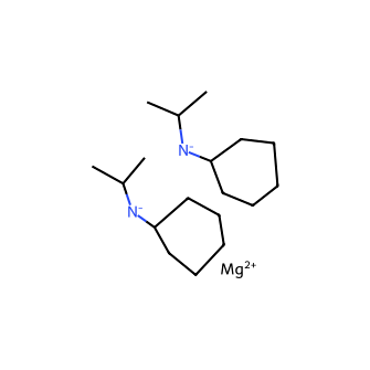 CC(C)[N-]C1CCCCC1.CC(C)[N-]C1CCCCC1.[Mg+2]